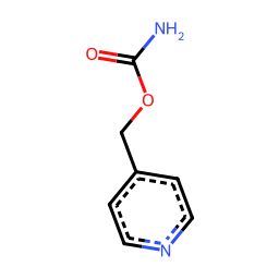 NC(=O)OCc1ccncc1